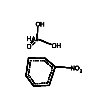 O=[AsH](O)O.O=[N+]([O-])c1ccccc1